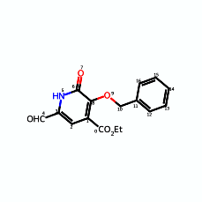 CCOC(=O)c1cc(C=O)[nH]c(=O)c1OCc1ccccc1